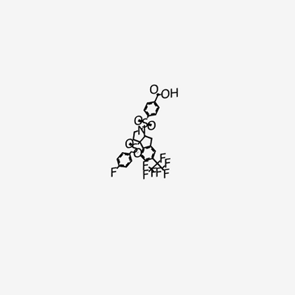 O=C(O)c1ccc(S(=O)(=O)N2CCC3(S(=O)(=O)c4ccc(F)cc4)c4ccc(C(F)(C(F)(F)F)C(F)(F)F)cc4CC23)cc1